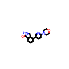 O=C1NCc2c1cccc2-c1ccc(N2CCOCC2)nc1